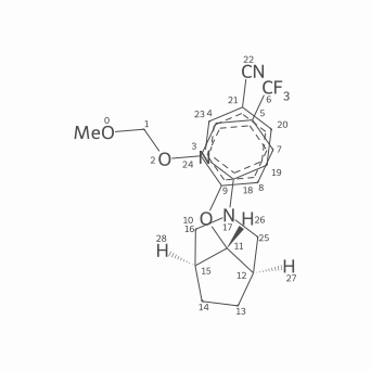 COCOc1cc(C(F)(F)F)ccc1O[C@@H]1[C@@H]2CC[C@H]1CN(c1ccc(C#N)cn1)C2